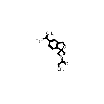 C=C(C)c1ccc2c(c1)COC21CN(C(=O)CC(F)(F)F)C1